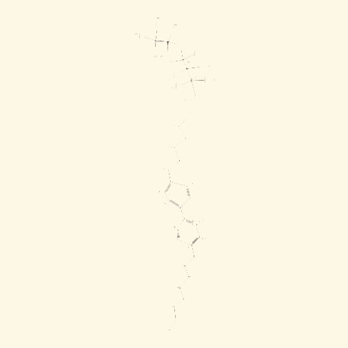 CCCCCCCCc1cnc(-c2ccc(CCCCCCOCC(F)(F)C(F)(F)C(F)(F)OC(F)(F)C(F)(F)F)cc2)nc1